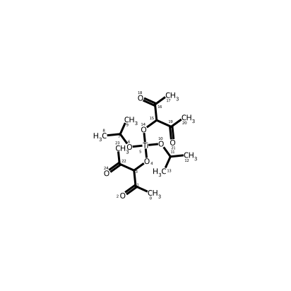 CC(=O)C([O][Ti]([O]C(C)C)([O]C(C)C)[O]C(C(C)=O)C(C)=O)C(C)=O